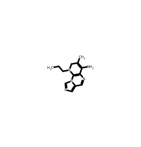 CCCN1CC(C)=C(N)c2ncc3cncn3c21